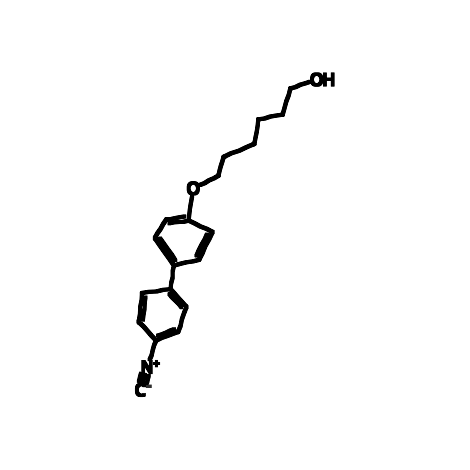 [C-]#[N+]c1ccc(-c2ccc(OCCCCCCO)cc2)cc1